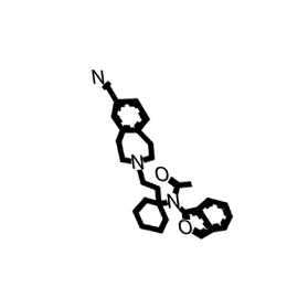 CC(=O)N(c1occ2ccccc12)C1(CCN2CCc3ccc(C#N)cc3CC2)CCCCC1